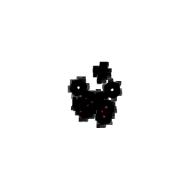 CC(CP(C1CCCCC1)C1CCCCC1)(CP(C1CCCCC1)C1CCCCC1)CP(C1CCCCC1)C1CCCCC1.F[B-](F)(F)F